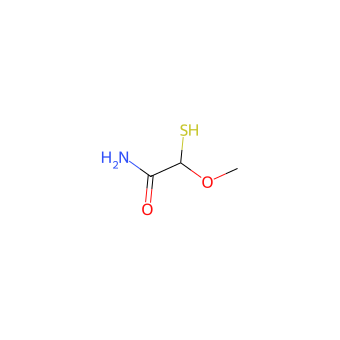 COC(S)C(N)=O